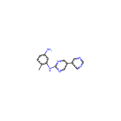 Cc1ccc(N)cc1Nc1ncc(-c2cncnc2)cn1